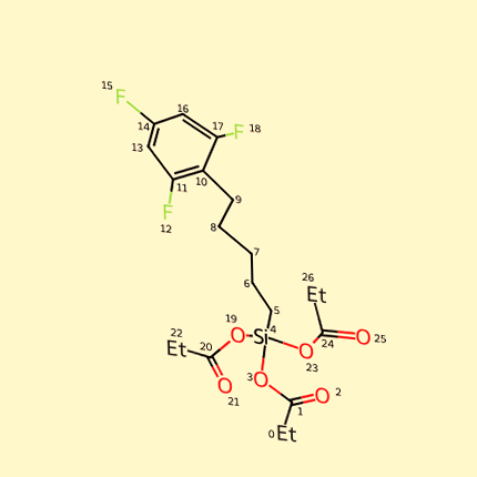 CCC(=O)O[Si](CCCCCc1c(F)cc(F)cc1F)(OC(=O)CC)OC(=O)CC